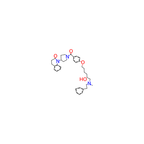 CN(CCc1ccccc1)CC(O)CCCCOc1ccc(C(=O)N2CCC(N3C(=O)CCc4ccccc43)CC2)cc1